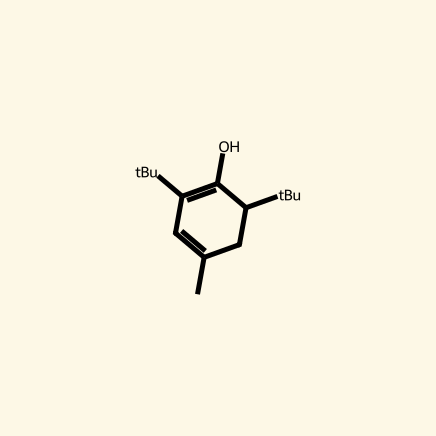 CC1=CC(C(C)(C)C)=C(O)C(C(C)(C)C)C1